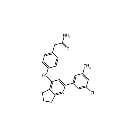 Cc1cc(Cl)cc(-c2cc(Nc3ccc(CC(N)=O)cc3)c3c(n2)CCC3)c1